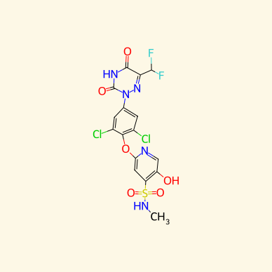 CNS(=O)(=O)c1cc(Oc2c(Cl)cc(-n3nc(C(F)F)c(=O)[nH]c3=O)cc2Cl)ncc1O